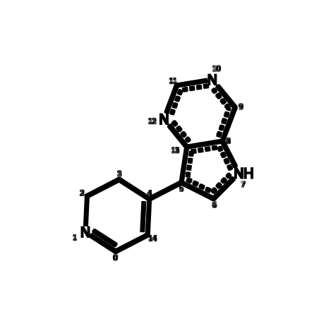 C1=NCCC(c2c[nH]c3cncnc23)=C1